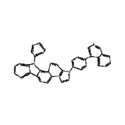 c1ccc(-n2c3ccccc3c3ccc4c5ccn(-c6ccc(-c7cncc8ccccc78)cc6)c5ccc4c32)cc1